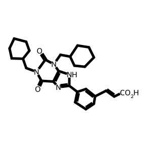 O=C(O)C=Cc1cccc(-c2nc3c(=O)n(CC4CCCCC4)c(=O)n(CC4CCCCC4)c3[nH]2)c1